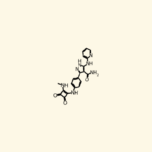 CNc1c(Nc2ccc(-c3n[nH]c(Nc4ccccn4)c3C(N)=O)cc2)c(=O)c1=O